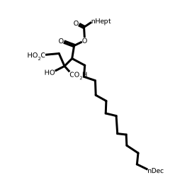 CCCCCCCCCCCCCCCCCCCCCCC(C(=O)OC(=O)CCCCCCC)C(O)(CC(=O)O)C(=O)O